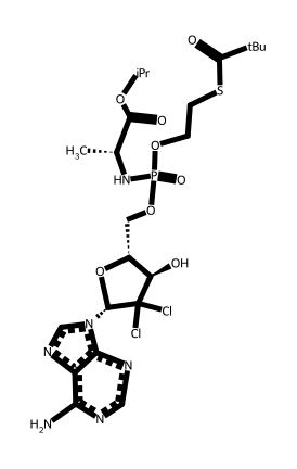 CC(C)OC(=O)[C@@H](C)NP(=O)(OCCSC(=O)C(C)(C)C)OC[C@H]1O[C@@H](n2cnc3c(N)ncnc32)C(Cl)(Cl)[C@@H]1O